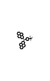 FC(F)(F)c1ccc(N(c2cc3ccc4cccc5ccc(c2)c3c45)c2cc3ccc4cccc5ccc(c2)c3c45)cc1